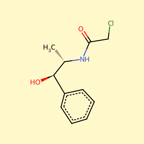 C[C@H](NC(=O)CCl)[C@H](O)c1ccccc1